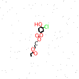 C=CC(=O)OCCCCOC(=O)Oc1ccc(O)c(Cl)c1